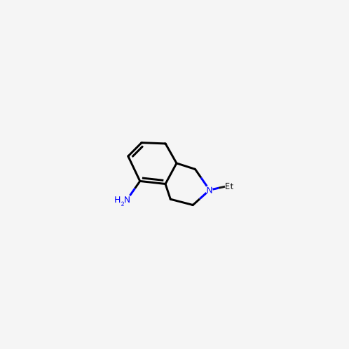 CCN1CCC2=C(N)C=CCC2C1